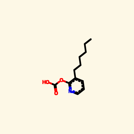 CCCCCCc1cccnc1OC(=O)O